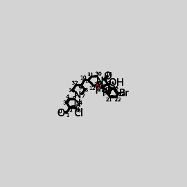 O=Cc1ccc(N2CCC(CC3CCN(C(=O)[C@](O)(c4cccc(Br)c4)C(F)(F)F)CC3)CC2)nc1Cl